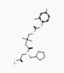 CC(C)(CNC(=O)Nc1ccc(Cl)cc1Cl)CC(=O)N(CC(=O)NO)CC1CCCC1